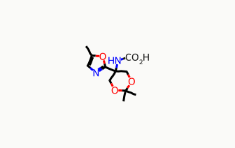 Cc1cnc(C2(NC(=O)O)COC(C)(C)OC2)o1